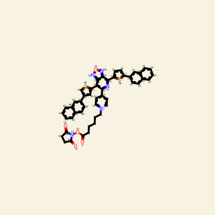 O=C(CCCCC[n+]1ccc(-c2nc(-c3ccc(-c4ccc5ccccc5c4)s3)c3nonc3c2-c2cc(-c3ccc4ccccc4c3)cs2)cc1)ON1C(=O)CCC1=O